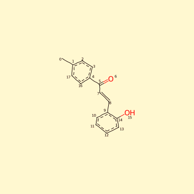 Cc1ccc(C(=O)C=Cc2ccccc2O)cc1